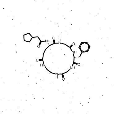 O=C1CC[C@H](NC(=O)CC2CCCC2)C(=O)NCC(=O)N[C@H](Cc2ccccc2)C(=O)NCC(=O)NCCN1